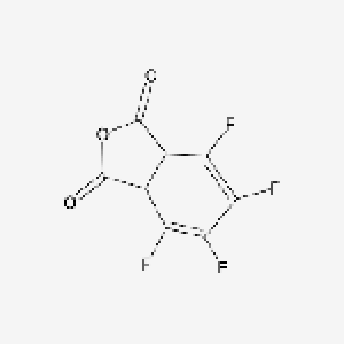 O=C1OC(=O)C2C(F)=C(F)C(F)=C(F)C12